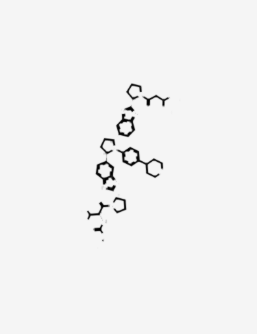 COC(=O)N[C@H](C(=O)N1CCC[C@H]1c1nc2cc([C@H]3CC[C@H](c4ccc5nc([C@@H]6CCCN6C(=O)[CH]C(C)C)[nH]c5c4)N3c3ccc(C4CCOCC4)cc3)ccc2[nH]1)C(C)C